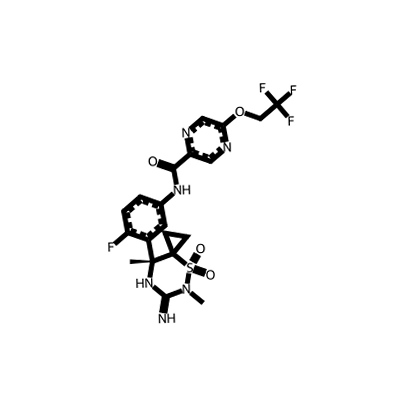 CN1C(=N)N[C@](C)(c2cc(NC(=O)c3cnc(OCC(F)(F)F)cn3)ccc2F)C2(CC2)S1(=O)=O